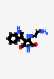 NCCNC1=C(c2c[nH]c3ccccc23)C(=O)NC1=O